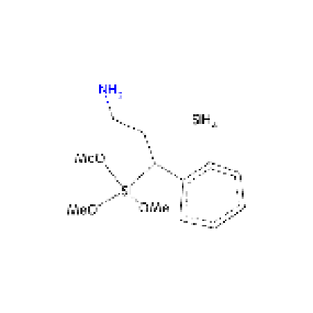 CO[Si](OC)(OC)C(CCN)c1ccccc1.[SiH4]